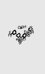 CN(C)CC(=O)N(C)[C@H]1C[C@@H](c2cccc(C(F)(F)F)c2)CC[C@@H]1Nc1cc(F)c(S(=O)(=O)Nc2ccncn2)cc1Cl.O=CO